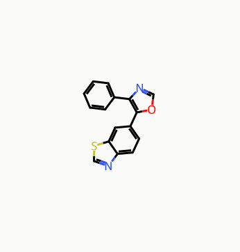 c1ccc(-c2ncoc2-c2ccc3ncsc3c2)cc1